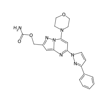 NC(=O)OCc1cc2nc(-n3ccc(-c4ccccc4)n3)cc(N3CCOCC3)n2n1